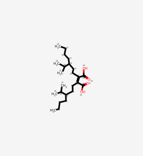 CCCCC(CC/C(C(=O)O)=C(\CCC(CCCC)C(C)C)C(=O)O)C(C)C